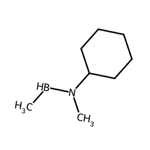 CBN(C)C1CCCCC1